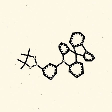 CC1(C)OB(c2cccc(N3c4ccccc4C4(c5ccccc5-c5ccccc54)c4ccccc43)c2)OC1(C)C